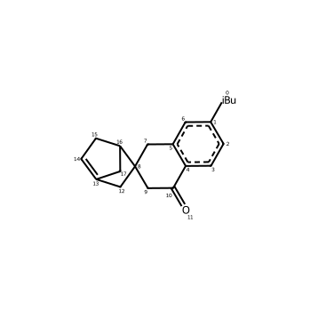 CCC(C)c1ccc2c(c1)CC1(CC2=O)CC2=CCC1C2